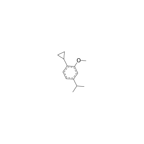 COc1cc(C(C)C)ccc1C1CC1